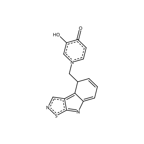 O=c1ccn(CC2C=CC=C3N=c4sncc4=C32)cc1O